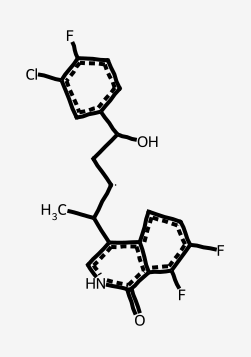 CC([CH]CC(O)c1ccc(F)c(Cl)c1)c1c[nH]c(=O)c2c(F)c(F)ccc12